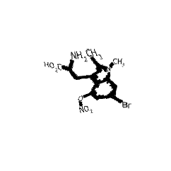 Cc1c(CC(N)C(=O)O)c2c(O[N+](=O)[O-])cc(Br)cc2n1C